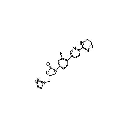 O=C1O[C@@H](Cn2ccnn2)CN1c1ccc(-c2ccc(C3=NOCCN3)nc2)c(F)c1